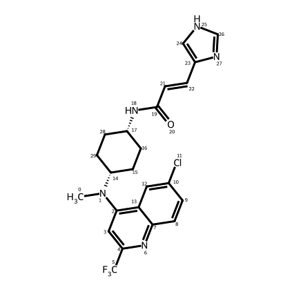 CN(c1cc(C(F)(F)F)nc2ccc(Cl)cc12)[C@H]1CC[C@@H](NC(=O)/C=C/c2c[nH]cn2)CC1